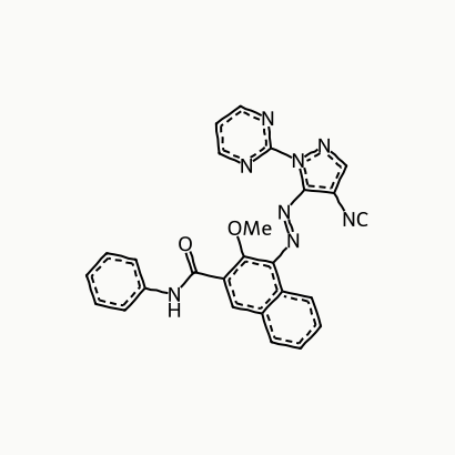 [C-]#[N+]c1cnn(-c2ncccn2)c1/N=N/c1c(OC)c(C(=O)Nc2ccccc2)cc2ccccc12